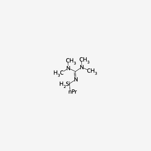 CCC[SiH2]N=C(N(C)C)N(C)C